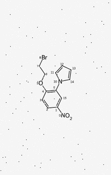 O=[N+]([O-])c1ccc(OCCBr)c(-n2cccc2)c1